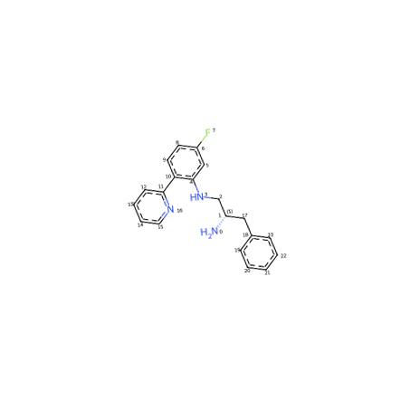 N[C@H](CNc1cc(F)ccc1-c1c[c]ccn1)Cc1ccccc1